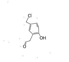 O=CCc1cc(CCl)ccc1O